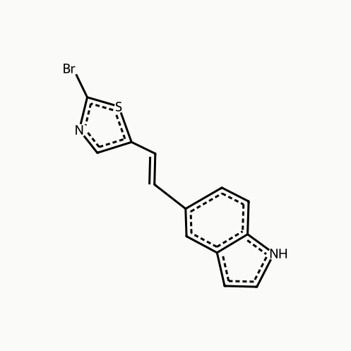 Brc1ncc(/C=C/c2ccc3[nH]ccc3c2)s1